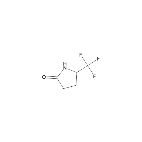 O=C1[CH]CC(C(F)(F)F)N1